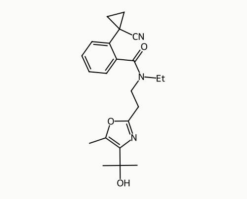 CCN(CCc1nc(C(C)(C)O)c(C)o1)C(=O)c1ccccc1C1(C#N)CC1